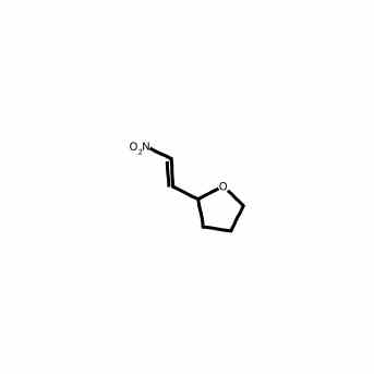 O=[N+]([O-])C=CC1CCCO1